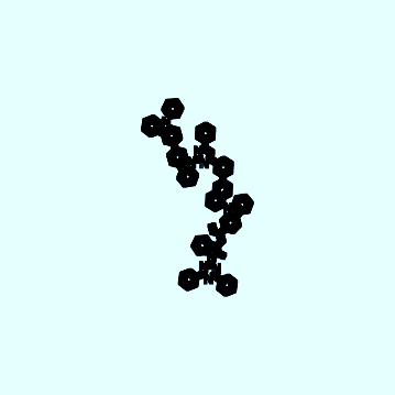 C=C/C(=C\c1c(C)n(-c2nc(-c3ccccc3)nc(-c3ccccc3)n2)c2ccccc12)c1ccc2c3ccccc3n(-c3cccc4cc(-c5cccc(-c6cc(-c7ccccc7)nc(-n7c8ccccc8c8ccc(-c9ccc%10c(c9)c9ccccc9n%10-c9ccccc9)cc87)n6)c5)ccc34)c2c1